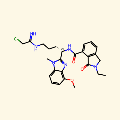 CCN1Cc2cccc(C(=O)N[C@@H](CCCNC(=N)CCl)c3nc4c(OC)cccc4n3C)c2C1=O